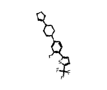 Fc1cc(C2CCC(C3=CCCC3)CC2)ccc1-c1ccc(C(F)(F)F)s1